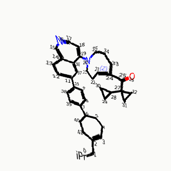 CC(C)CC1=CCCC(c2ccc(C3=CCC4=CN=CC=C(N5CC/C=C(\C(=O)C6(C7CC7)CC6)CCC5)C4=C3)cc2)CC1